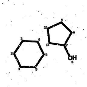 C1CCCCC1.OC1CCCC1